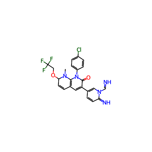 CN1c2c(cc(-c3ccc(=N)n(C=N)c3)c(=O)n2-c2ccc(Cl)cc2)C=CC1OCC(F)(F)F